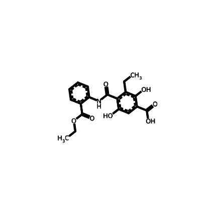 CCOC(=O)c1ccccc1NC(=O)c1c(O)cc(C(=O)O)c(O)c1CC